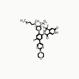 COCCN(C)[C@H]1CN(c2cc(F)c(-c3cnc(N4CCOCC4)nc3)cc2NC(=O)c2c[nH]c(=O)cc2C(F)(F)F)C[C@@H]1OC